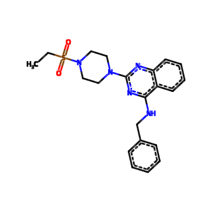 CCS(=O)(=O)N1CCN(c2nc(NCc3ccccc3)c3ccccc3n2)CC1